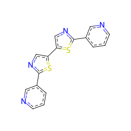 c1cncc(-c2ncc(-c3cnc(-c4cccnc4)s3)s2)c1